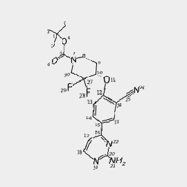 CC(C)(C)OC(=O)N1CC[C@H](Oc2ccc(-c3ccnc(N)n3)cc2C#N)C(F)(F)C1